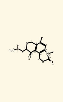 CCCCNCC1CCc2c(C)cc3c(c2C1=O)CCC(=O)N3C